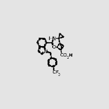 O=C(NC1(C23CC(C(=O)O)(C2)C3)CC1)c1cccc2ccn(Cc3ccc(C(F)(F)F)cc3)c12